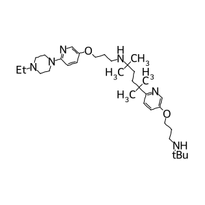 CCN1CCN(c2ccc(OCCCNC(C)(C)CCC(C)(C)c3ccc(OCCCNC(C)(C)C)cn3)cn2)CC1